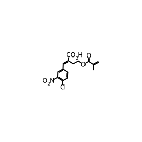 C=C(C)C(=O)OCCC(=Cc1ccc(Cl)c([N+](=O)[O-])c1)C(=O)O